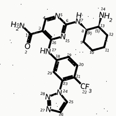 NC(=O)c1cnc(N[C@@H]2CCCC[C@@H]2N)nc1Nc1ccc(C(F)(F)F)c(-n2ccnn2)c1